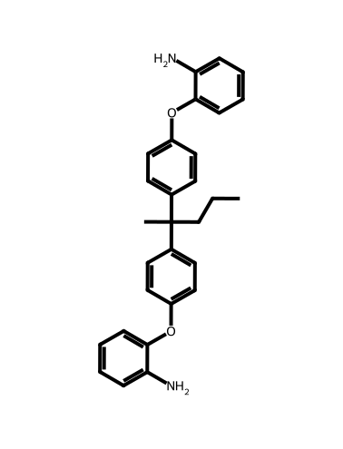 CCCC(C)(c1ccc(Oc2ccccc2N)cc1)c1ccc(Oc2ccccc2N)cc1